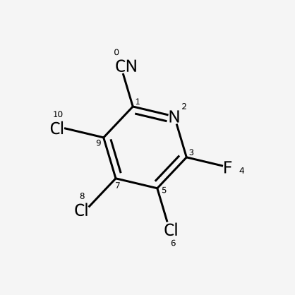 N#Cc1nc(F)c(Cl)c(Cl)c1Cl